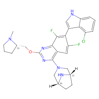 CN1CCC[C@H]1COc1nc(N2C[C@H]3CC[C@@H](C2)N3)c2cc(F)c(-c3c[nH]c4cccc(Cl)c34)c(F)c2n1